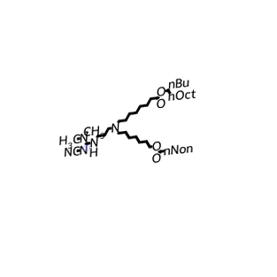 CCCCCCCCCC(=O)OCCCCCCCN(CCCCCCCC(=O)OC(CCCC)CCCCCCCC)CCCN/C(=N/C#N)N(C)C